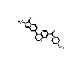 CN1CCN(C(=O)c2cnc3c(c2)OCCN3c2ccn3c(=O)n(C)nc3c2)CC1